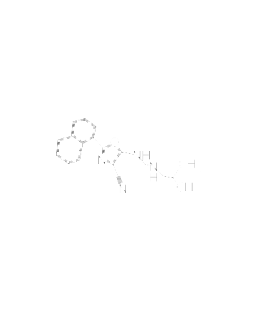 CC(C)CNCNc1oc(-c2cccc3ccccc23)nc1C#N